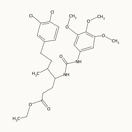 CCOC(=O)CCC(NC(=O)Nc1cc(OC)c(OC)c(OC)c1)C(C)CCc1ccc(Cl)c(Cl)c1